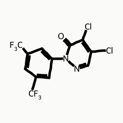 O=c1c(Cl)c(Cl)cnn1-c1cc(C(F)(F)F)cc(C(F)(F)F)c1